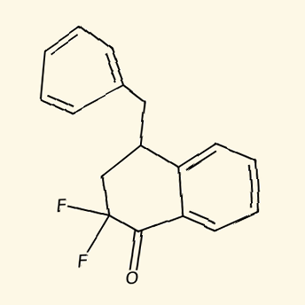 O=C1c2ccccc2C(Cc2ccccc2)CC1(F)F